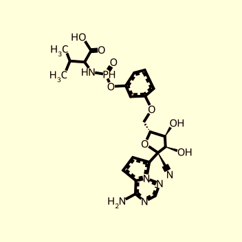 CC(C)C(N[PH](=O)Oc1cccc(OC[C@H]2O[C@@](C#N)(c3ccc4c(N)ncnn34)[C@H](O)[C@@H]2O)c1)C(=O)O